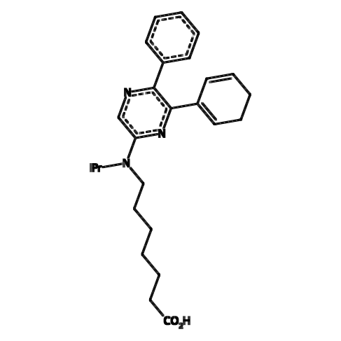 CC(C)N(CCCCCCC(=O)O)c1cnc(-c2ccccc2)c(C2=CCCC=C2)n1